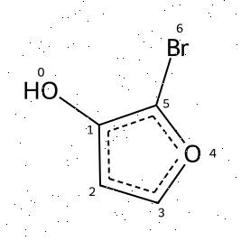 Oc1ccoc1Br